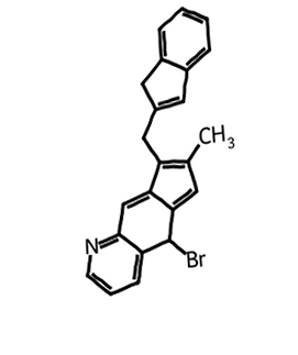 CC1=C(CC2=Cc3ccccc3C2)C2=Cc3ncccc3C(Br)C2=C1